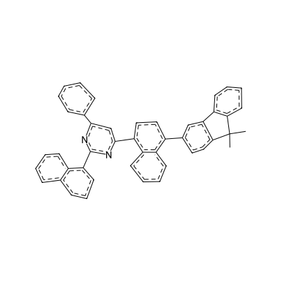 CC1(C)c2ccccc2-c2cc(-c3ccc(-c4cc(-c5ccccc5)nc(-c5cccc6ccccc56)n4)c4ccccc34)ccc21